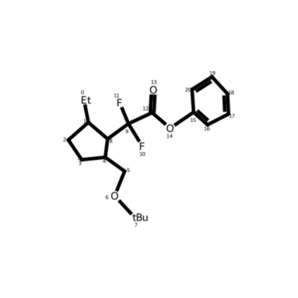 [CH2]CC1C[CH]C(COC(C)(C)C)C1C(F)(F)C(=O)Oc1ccccc1